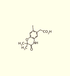 CC1(C)Oc2cc(I)c(CC(=O)O)cc2NC1=O